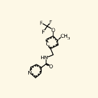 Cc1cc(CNC(=O)c2ccncc2)ccc1OC(F)(F)F